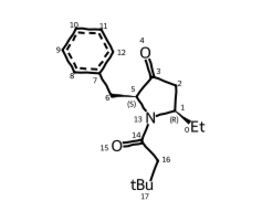 CC[C@@H]1CC(=O)[C@H](Cc2ccccc2)N1C(=O)CC(C)(C)C